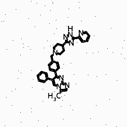 Cc1cnc2nc(-c3ccc(CN4CCC(c5n[nH]c(-c6ccccn6)n5)CC4)cc3)c(-c3ccccc3)cn12